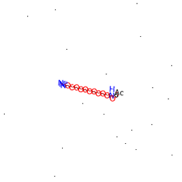 CC(=O)c1cccc(C(=O)NCCOCCOCCOCCOCCOCCOCCOCCOCCOCCOCCN=[N+]=[N-])c1